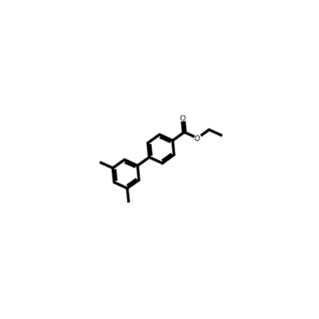 CCOC(=O)c1ccc(-c2cc(C)cc(C)c2)cc1